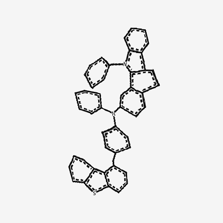 c1ccc(N(c2ccc(-c3cccc4sc5ccccc5c34)cc2)c2ccc3ccc4c5ccccc5n(-c5ccccc5)c4c3c2)cc1